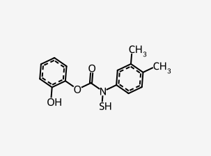 Cc1ccc(N(S)C(=O)Oc2ccccc2O)cc1C